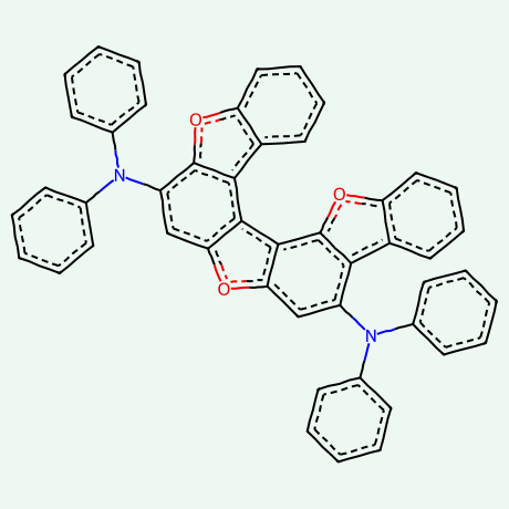 c1ccc(N(c2ccccc2)c2cc3oc4cc(N(c5ccccc5)c5ccccc5)c5c6ccccc6oc5c4c3c3c2oc2ccccc23)cc1